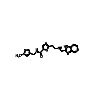 Cn1cc(CNC(=O)c2csc(CCNCc3nc4ccccc4[nH]3)n2)cn1